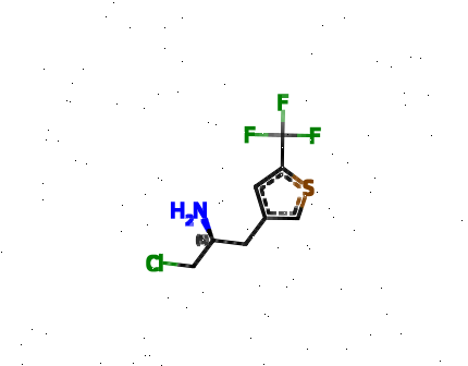 N[C@H](CCl)Cc1csc(C(F)(F)F)c1